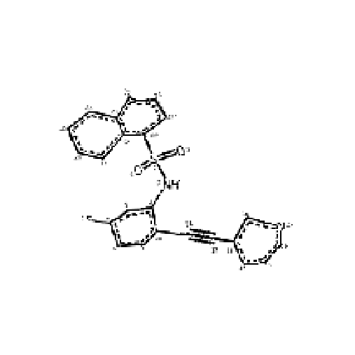 O=S(=O)(Nc1cc(F)ccc1C#Cc1cccnc1)c1cccc2ccccc12